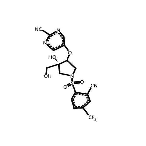 N#Cc1ncc(O[C@H]2CN(S(=O)(=O)c3ccc(C(F)(F)F)cc3C#N)C[C@@]2(O)CO)cn1